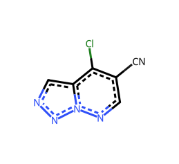 N#Cc1cnn2nncc2c1Cl